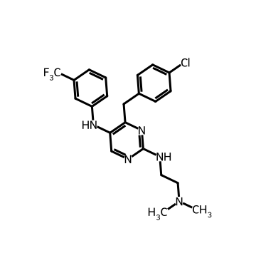 CN(C)CCNc1ncc(Nc2cccc(C(F)(F)F)c2)c(Cc2ccc(Cl)cc2)n1